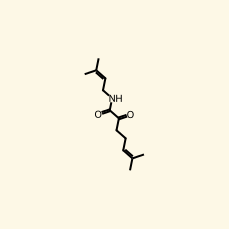 CC(C)=CCCC(=O)C(=O)NCC=C(C)C